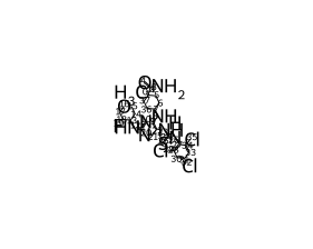 C[C@]1(C(N)=O)CC[C@@H](Nc2nc(N[C@@H]3CCOC[C@H]3F)ncc2NC(=S)Nc2c(Cl)cc(Cl)cc2Cl)CC1